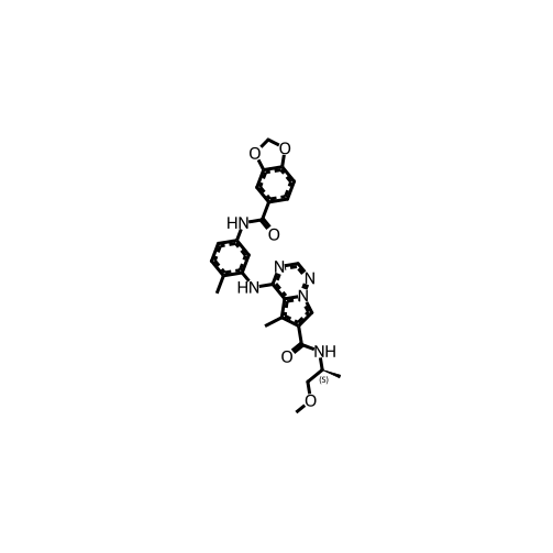 COC[C@H](C)NC(=O)c1cn2ncnc(Nc3cc(NC(=O)c4ccc5c(c4)OCO5)ccc3C)c2c1C